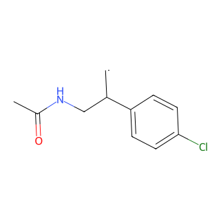 [CH2]C(CNC(C)=O)c1ccc(Cl)cc1